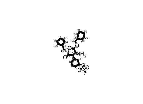 CS(=O)(=O)Oc1cccc(C(C(=O)OCc2ccccc2)C(N)C(=O)OCc2ccccc2)c1